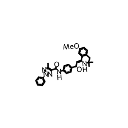 COc1ccc2c(c1)C(=CC(=O)c1ccc(NC(=O)c3nn(-c4ccccc4)nc3C)cc1)NC(C)(C)C2